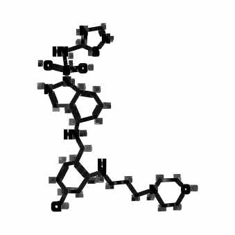 O=S(=O)(Nc1ncns1)n1ncc2c(NCc3ccc(Cl)cc3NCCCN3CCOCC3)cccc21